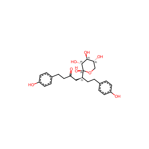 O=C(CCc1ccc(O)cc1)C[C@H](CCc1ccc(O)cc1)[C@@]1(O)OC[C@@H](O)[C@H](O)[C@H]1O